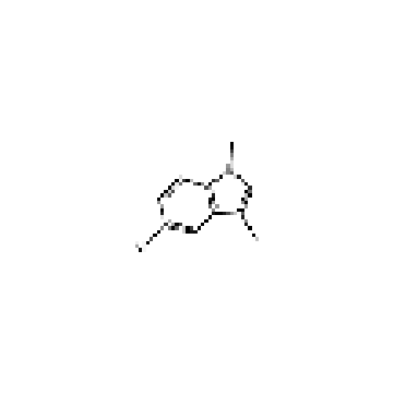 Cc1cn(C)c2ccc(Cl)cc12